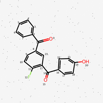 O=C(c1ccccc1)c1ccc(F)c(C(=O)c2ccc(O)cc2)c1